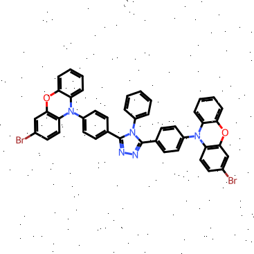 Brc1ccc2c(c1)Oc1ccccc1N2c1ccc(-c2nnc(-c3ccc(N4c5ccccc5Oc5cc(Br)ccc54)cc3)n2-c2ccccc2)cc1